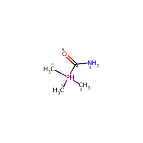 C[PH](C)(C)C(N)=O